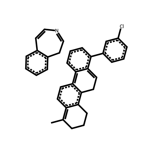 C1=Cc2ccccc2CC=N1.CC1=c2ccc3c(c2CCC1)CC=c1c(-c2cccc(Cl)c2)cccc1=3